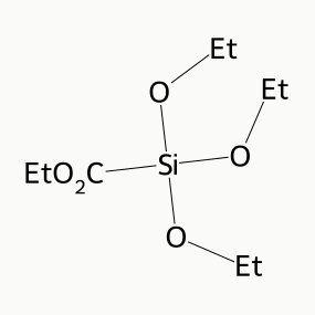 CCOC(=O)[Si](OCC)(OCC)OCC